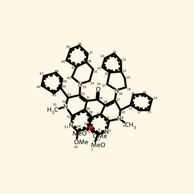 COc1cc2c(nc1OC)N(C)C(c1ccccc1)C(N1CCc3ccccc3C1)=C2C(=O)C1=C(N2CCc3ccccc3C2)C(c2ccccc2)N(C)c2nc(OC)c(OC)cc21